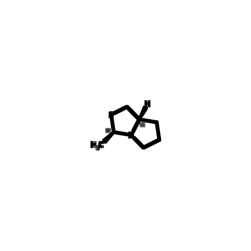 C[C@H]1SC[C@@H]2CCCN21